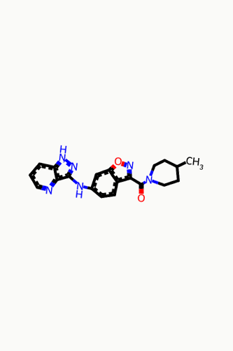 CC1CCN(C(=O)c2noc3cc(Nc4n[nH]c5cccnc45)ccc23)CC1